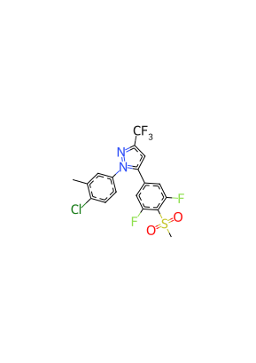 Cc1cc(-n2nc(C(F)(F)F)cc2-c2cc(F)c(S(C)(=O)=O)c(F)c2)ccc1Cl